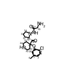 Cc1ccc(Cl)c(OC2(C(=O)[C@@H]3CCCN3NC(=O)CN)CCNCC2)c1